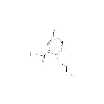 CCC(=O)c1cc([N+](=O)[O-])ccc1OCC(C)(C)C